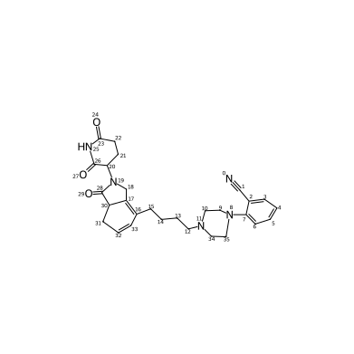 N#Cc1ccccc1N1CCN(CCCCC2=C3CN(C4CCC(=O)NC4=O)C(=O)C3CC=C2)CC1